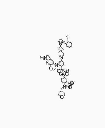 O=C(NS(=O)(=O)c1ccc(NCC2CCOCC2)c([N+](=O)[O-])c1)c1ccc(N2CCC3(CC2)CC(N2CCC[C@H]2c2ccccc2C2CC2)C3)cc1N1CCOc2nc3[nH]ccc3cc21